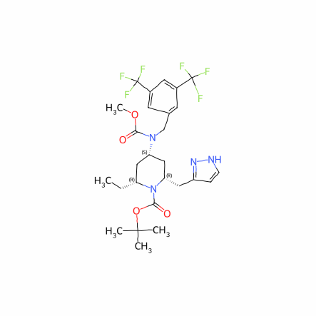 CC[C@@H]1C[C@H](N(Cc2cc(C(F)(F)F)cc(C(F)(F)F)c2)C(=O)OC)C[C@H](Cc2cc[nH]n2)N1C(=O)OC(C)(C)C